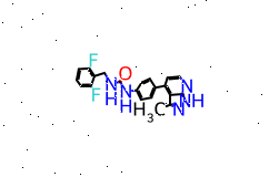 Cc1n[nH]c2nccc(-c3ccc(NC(=O)NCc4c(F)cccc4F)cc3)c12